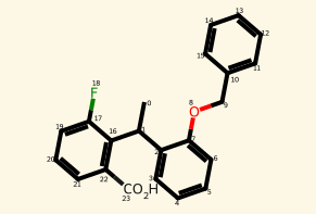 CC(c1ccccc1OCc1ccccc1)c1c(F)cccc1C(=O)O